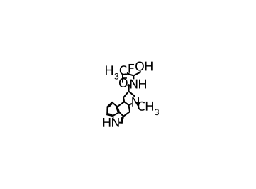 CN1CC(C(=O)NC(CO)C(C)(F)F)CC2c3cccc4[nH]cc(c34)CC21